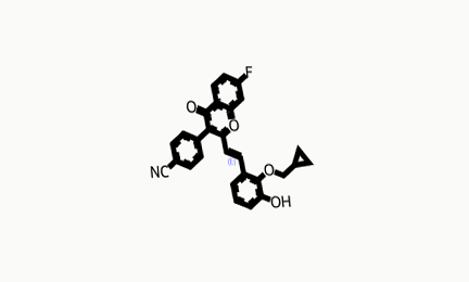 N#Cc1ccc(-c2c(/C=C/c3cccc(O)c3OCC3CC3)oc3cc(F)ccc3c2=O)cc1